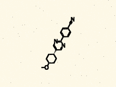 CO[C@H]1CC[C@H](c2cnc(-c3ccc(C#N)cc3)nc2)CC1